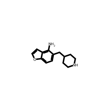 Nc1c(CC2CCNCC2)ccc2occc12